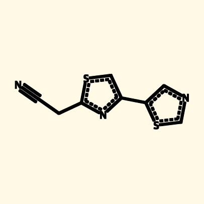 N#CCc1nc(-c2cncs2)cs1